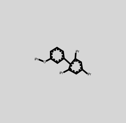 CC(C)Oc1cccc(-c2c(C(C)C)cc(C(C)C)cc2C(C)C)c1